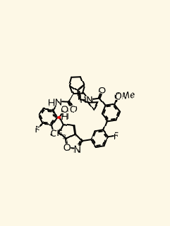 COc1ccc(-c2cc(C3=NOC4CC(CO)CC34)ccc2F)cc1C(=O)NC1C2CCC(/C2=C/C2CC2)[C@@H]1C(=O)Nc1ccc(F)c(C(F)(F)F)c1